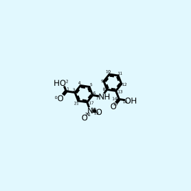 O=C(O)c1ccc(Nc2ccccc2C(=O)O)c([N+](=O)[O-])c1